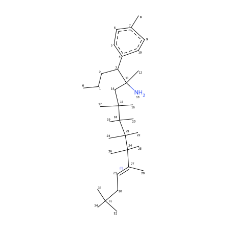 CCCC(c1ccc(C)cc1)C(C)(N)CC(C)(C)C(C)(C)C(C)(C)C(C)(C)/C(C)=C/CC(C)(C)C